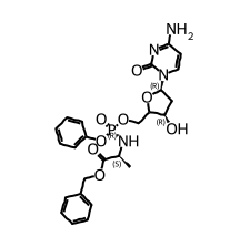 C[C@H](N[P@@](=O)(OCC1O[C@@H](n2ccc(N)nc2=O)C[C@H]1O)Oc1ccccc1)C(=O)OCc1ccccc1